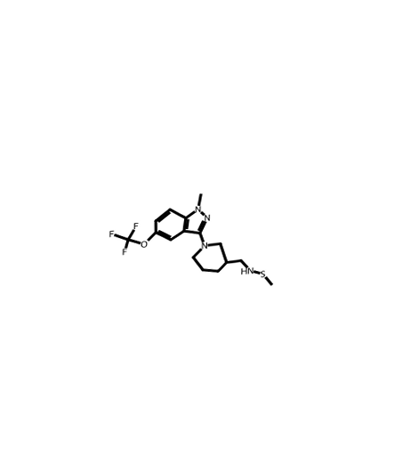 CSNCC1CCCN(c2nn(C)c3ccc(OC(F)(F)F)cc23)C1